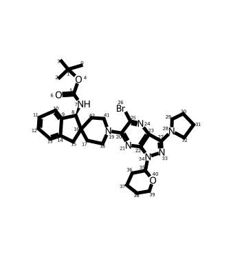 CC(C)(C)OC(=O)N[C@@H]1c2ccccc2CC12CCN(c1nc3c(nc1Br)c(N1CCCC1)nn3C1CCCCO1)CC2